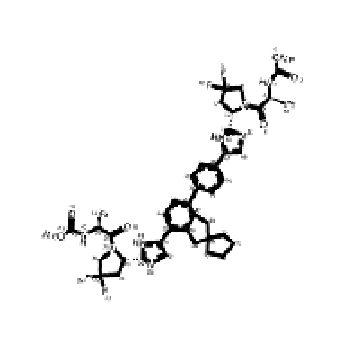 COC(=O)N[C@H](C(=O)N1CC(F)(F)C[C@H]1c1ncc(-c2ccc(-c3ccc(-c4cnc([C@@H]5CC(F)(F)CN5C(=O)[C@@H](NC(=O)OC)C(C)C)[nH]4)c4c3CC3(CCCC3)C4)cc2)[nH]1)C(C)C